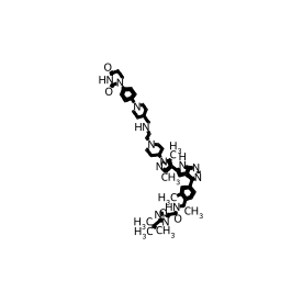 Cc1cc(-c2ncnc3[nH]c(-c4c(C)nn(C5CCN(CCNCC6CCN(c7ccc(N8CCC(=O)NC8=O)cc7)CC6)CC5)c4C)cc23)ccc1C(C)NC(=O)c1nc(C(C)(C)C)no1